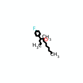 CCCCCCCC(C)([O])C(CCC)c1ccc(F)cc1